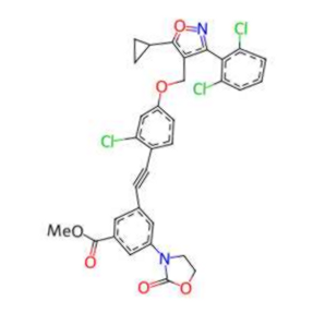 COC(=O)c1cc(C#Cc2ccc(OCc3c(-c4c(Cl)cccc4Cl)noc3C3CC3)cc2Cl)cc(N2CCOC2=O)c1